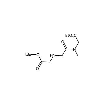 CCOC(=O)CN(C)C(=O)CNCC(=O)OC(C)(C)C